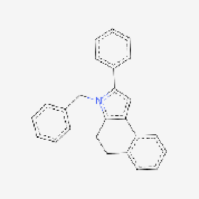 c1ccc(Cn2c(-c3ccccc3)cc3c2CCc2ccccc2-3)cc1